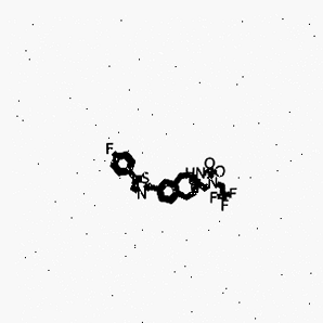 O=S1(=O)NC2(CN1CC(F)(F)F)C1CCC2Cc2cc(-c3ncc(-c4ccc(F)cc4)s3)ccc2C1